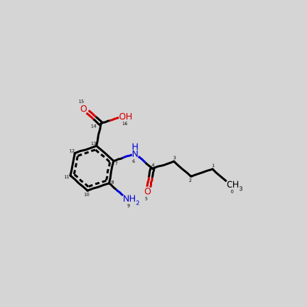 CCCCC(=O)Nc1c(N)cccc1C(=O)O